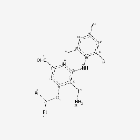 CCC(CC)Oc1cc(C=O)nc(Nc2c(C)cc(C)cc2C)c1CN